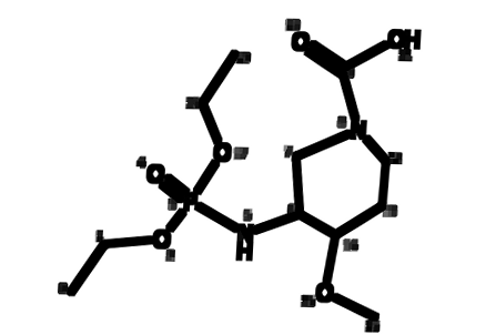 CCOP(=O)(NC1CN(C(=O)O)CCC1OC)OCC